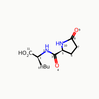 CCCC[C@H](NC(=O)[C@@H]1CCC(=O)N1)C(=O)O